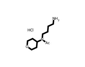 CC(=O)N(CCCCN)C1CCOCC1.Cl